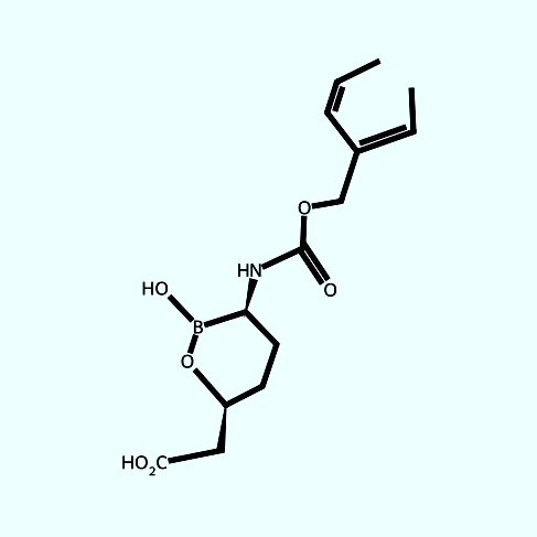 C/C=C\C(=C/C)COC(=O)N[C@H]1CC[C@@H](CC(=O)O)OB1O